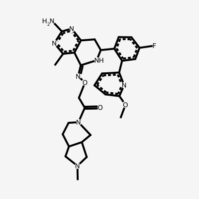 COc1cccc(-c2cc(F)ccc2C2Cc3nc(N)nc(C)c3C(=NOCC(=O)N3CCC4CN(C)CC4C3)N2)n1